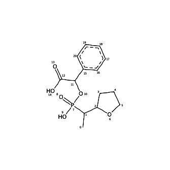 CC(C1CCCO1)P(=O)(O)OC(C(=O)O)c1ccccc1